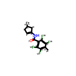 CCC1CC=C(NC(=O)c2c(F)c(F)c(C)c(F)c2F)C1